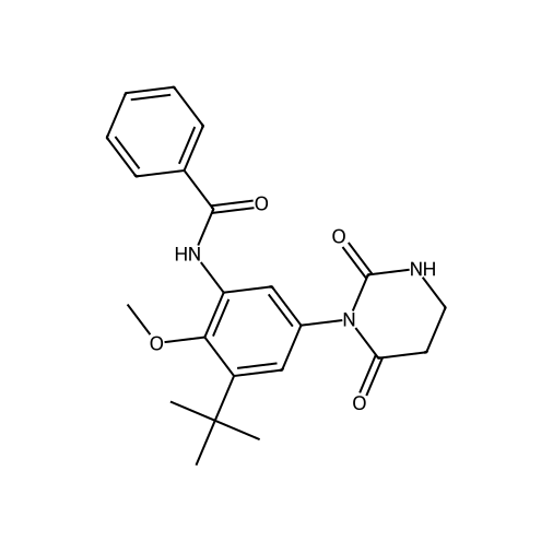 COc1c(NC(=O)c2ccccc2)cc(N2C(=O)CCNC2=O)cc1C(C)(C)C